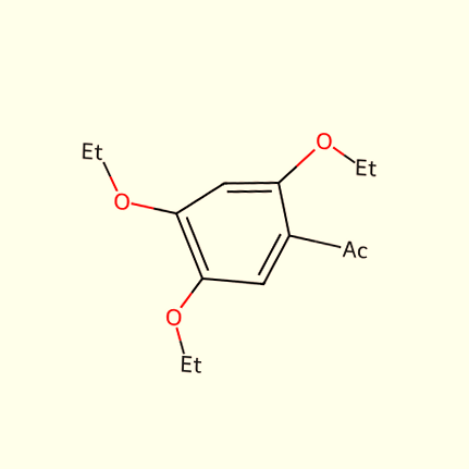 CCOc1cc(OCC)c(C(C)=O)cc1OCC